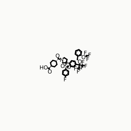 O=C(O)[C@H]1CC[C@H](C(=O)N2CC[C@](c3ccc(C(OCc4ccccc4OC(F)(F)F)(C(F)(F)F)C(F)(F)F)cc3)(S(=O)(=O)c3ccc(F)cc3)C2)CC1